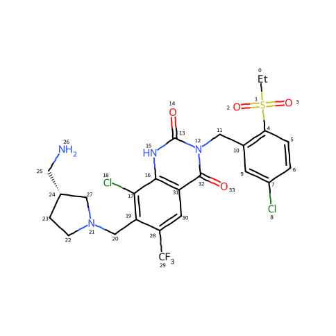 CCS(=O)(=O)c1ccc(Cl)cc1Cn1c(=O)[nH]c2c(Cl)c(CN3CC[C@H](CN)C3)c(C(F)(F)F)cc2c1=O